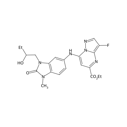 CCOC(=O)c1cc(Nc2ccc3c(c2)n(CC(O)CC)c(=O)n3C)n2ncc(F)c2n1